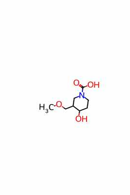 COCC1CN(C(=O)O)CCC1O